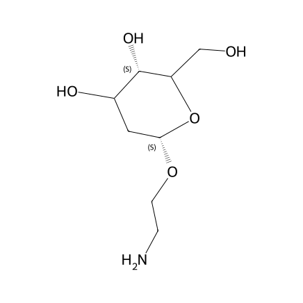 NCCO[C@@H]1CC(O)[C@H](O)C(CO)O1